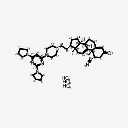 C[C@@]12C(=CC(=O)C[C@@H]1C#N)CC[C@@H]1C2=CC[C@]2(C)[C@@H](CCN3CCN(c4cc(N5CCCC5)nc(N5CCCC5)n4)CC3)CC[C@@H]12.Cl.Cl.Cl